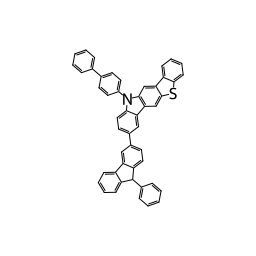 c1ccc(-c2ccc(-n3c4ccc(-c5ccc6c(c5)-c5ccccc5C6c5ccccc5)cc4c4cc5sc6ccccc6c5cc43)cc2)cc1